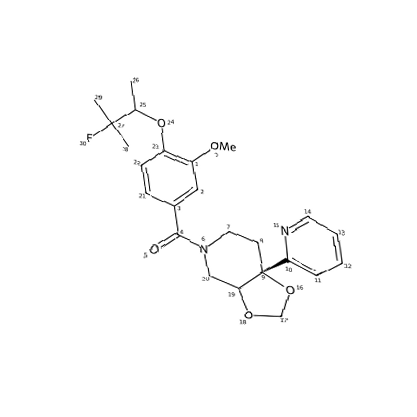 COc1cc(C(=O)N2CC[C@]3(c4ccccn4)OCOC3C2)ccc1OC(C)C(C)(C)F